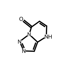 O=c1cc[nH]c2cnnn12